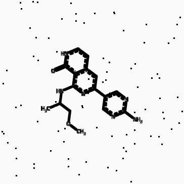 COCC(C)Nc1nc(-c2cnc(N)nc2)cc2cc[nH]c(=O)c12